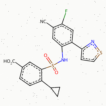 N#Cc1cc(NS(=O)(=O)c2cc(C(=O)O)ccc2C2CC2)c(-c2ccsn2)cc1F